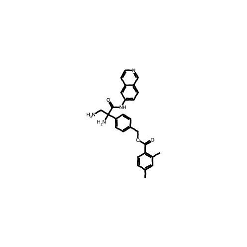 Cc1ccc(C(=O)OCc2ccc(C(N)(CN)C(=O)Nc3ccc4cnccc4c3)cc2)c(C)c1